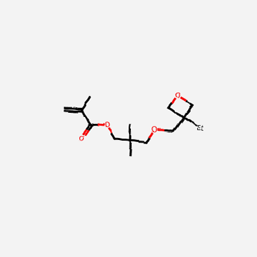 C=C(C)C(=O)OCC(C)(C)COCC1(CC)COC1